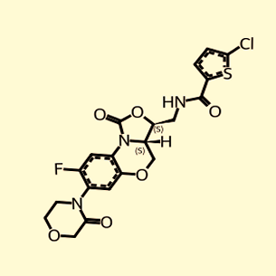 O=C(NC[C@@H]1OC(=O)N2c3cc(F)c(N4CCOCC4=O)cc3OC[C@@H]12)c1ccc(Cl)s1